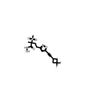 CC(CCc1cc(C#CC2CC(F)(F)C2)on1)(C(=O)NO)S(C)(=O)=O